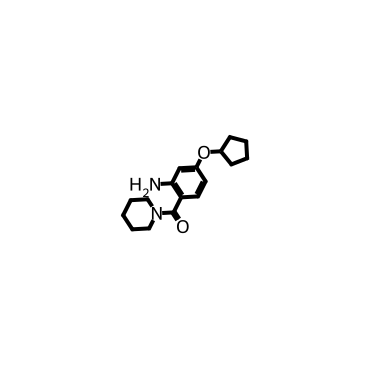 Nc1cc(OC2CCCC2)ccc1C(=O)N1CCCCC1